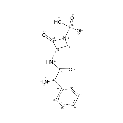 NC(C(=O)N[C@H]1CN(P(=O)(O)O)C1=O)c1ccccc1